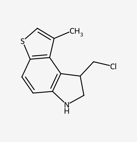 Cc1csc2ccc3c(c12)C(CCl)CN3